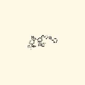 CO[C@@]1(c2cc(OC3CC(OCc4ccccc4)C3)cc(-c3cn(C)c4cnc(NC(C)=O)cc34)n2)CCOC1